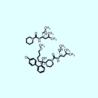 CNC[C@H](CC(C)C)NC(=O)N1CCCCC1.CNC[C@H](CC(C)C)NC(=O)N1CCC[C@@H]([C@@](O)(CCCCOC)c2ccccc2-c2ccc(Cl)cc2)C1